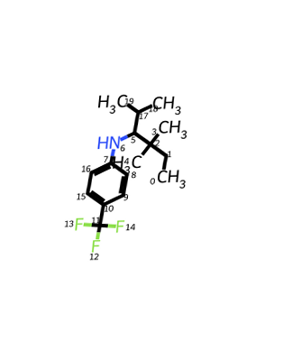 CCC(C)(C)C(Nc1ccc(C(F)(F)F)cc1)C(C)C